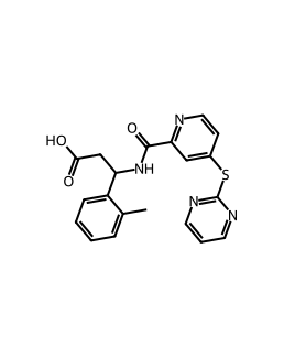 Cc1ccccc1C(CC(=O)O)NC(=O)c1cc(Sc2ncccn2)ccn1